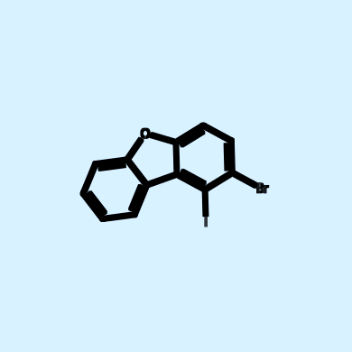 Brc1ccc2oc3ccccc3c2c1I